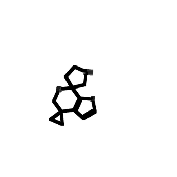 c1cc2c(s1)C1(CCNC1)OCC21CC1